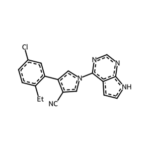 CCc1ccc(Cl)cc1-c1cn(-c2ncnc3[nH]ccc23)cc1C#N